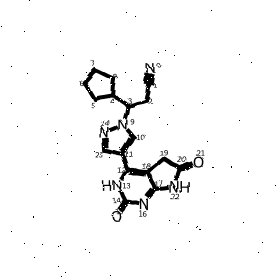 N#CCC(C1CCCC1)n1cc(-c2[nH]c(=O)nc3c2CC(=O)N3)cn1